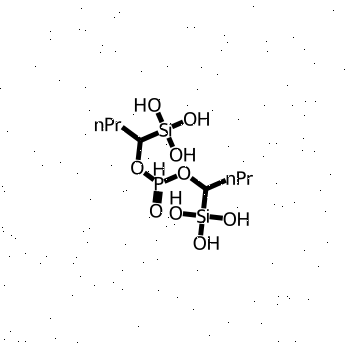 CCCC(O[PH](=O)OC(CCC)[Si](O)(O)O)[Si](O)(O)O